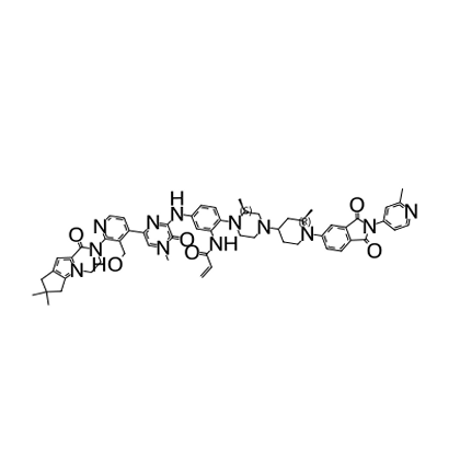 C=CC(=O)Nc1cc(Nc2nc(-c3ccnc(N4CCn5c(cc6c5CC(C)(C)C6)C4=O)c3CO)cn(C)c2=O)ccc1N1CCN(C2CCN(c3ccc4c(c3)C(=O)N(c3ccnc(C)c3)C4=O)[C@H](C)C2)C[C@@H]1C